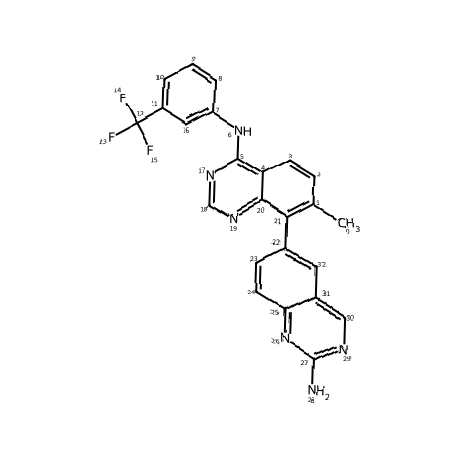 Cc1ccc2c(Nc3cccc(C(F)(F)F)c3)ncnc2c1-c1ccc2nc(N)ncc2c1